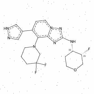 F[C@@H]1COCC[C@@H]1Nc1nc2c(N3CCCC(F)(F)C3)c(-c3cn[nH]c3)ccn2n1